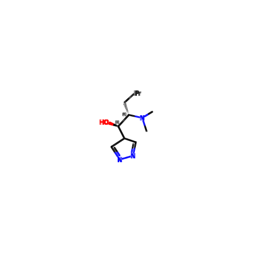 CC(C)C[C@@H]([C@H](O)C1C=NN=C1)N(C)C